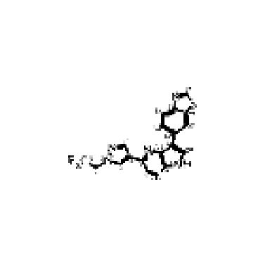 FC(F)(F)Cn1cc(-c2cnc3[nH]cc(-c4ccc5ncsc5c4)c3n2)cn1